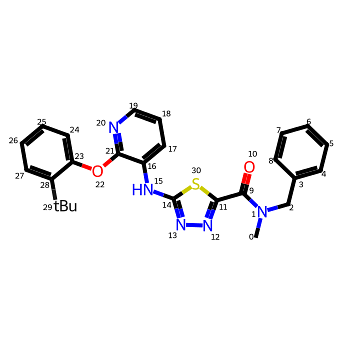 CN(Cc1ccccc1)C(=O)c1nnc(Nc2cccnc2Oc2ccccc2C(C)(C)C)s1